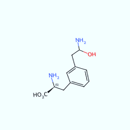 NC(O)Cc1cccc(C[C@H](N)C(=O)O)c1